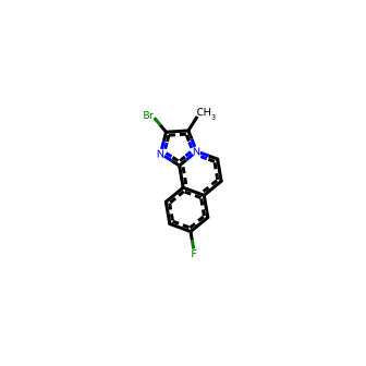 Cc1c(Br)nc2c3ccc(F)cc3ccn12